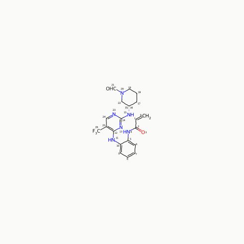 C=CC(=O)Nc1ccccc1Nc1nc(N[C@H]2CCCN(C=O)C2)ncc1C(F)(F)F